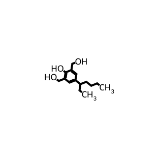 CCCCC(CC)c1cc(CO)c(O)c(CO)c1